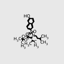 CC(C)CCN([C@@H](C(=O)OC(C)(C)C)C(C)C)S(=O)(=O)c1ccc2cc(O)ccc2c1